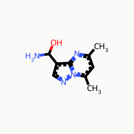 Cc1cc(C)n2ncc(C(N)O)c2n1